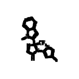 Cc1csc(N2NC=NC2(c2cc3ccccc3n2C)C(F)(F)F)c1